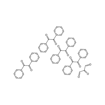 O=C(C(=O)c1ccccc1)c1ccccc1.O=C(C(=O)c1ccccc1)c1ccccc1.O=C(C(=O)c1ccccc1)c1ccccc1.O=C(C(=O)c1ccccc1)c1ccccc1.O=CC(=O)C=O